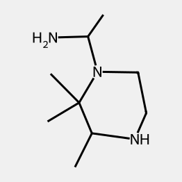 CC(N)N1CCNC(C)C1(C)C